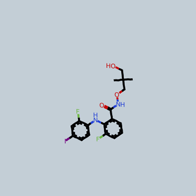 CC(C)(CO)CONC(=O)c1cccc(F)c1Nc1ccc(I)cc1F